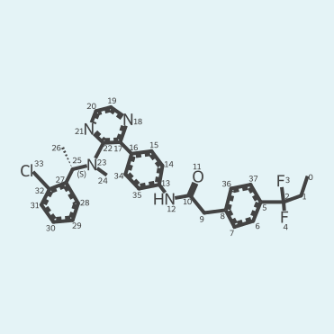 CCC(F)(F)c1ccc(CC(=O)Nc2ccc(-c3nccnc3N(C)[C@@H](C)c3ccccc3Cl)cc2)cc1